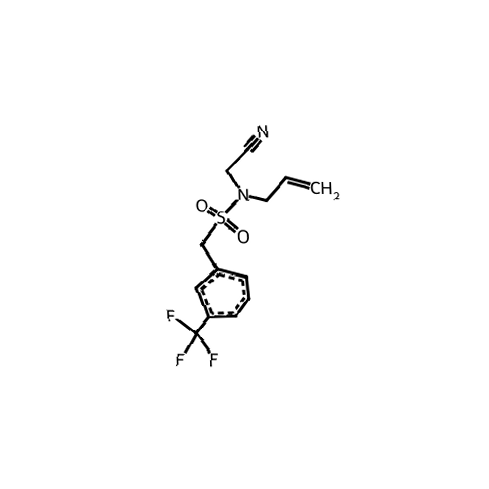 C=CCN(CC#N)S(=O)(=O)Cc1cccc(C(F)(F)F)c1